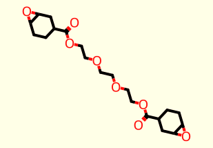 O=C(OCCOCCOCCOC(=O)C1CCC2OC2C1)C1CCC2OC2C1